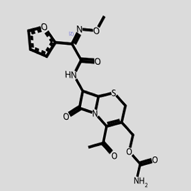 CO/N=C(\C(=O)NC1C(=O)N2C(C(C)=O)=C(COC(N)=O)CSC12)c1ccco1